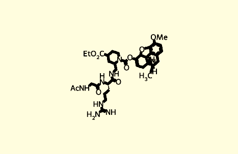 CCOC(=O)C1CCN(C(=O)OC2=CC[C@H]3[C@H]4Cc5ccc(OC)c6c5[C@@]3(CCN4C)C2O6)C(CNC(=O)[C@H](CCCNC(=N)N)NC(=O)CNC(C)=O)C1